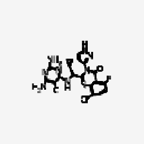 Nc1nc(N)c(Cl)c(NC(c2nc3c(Cl)ccc(F)c3c(=O)n2-c2cc[nH]n2)C2CC2)n1